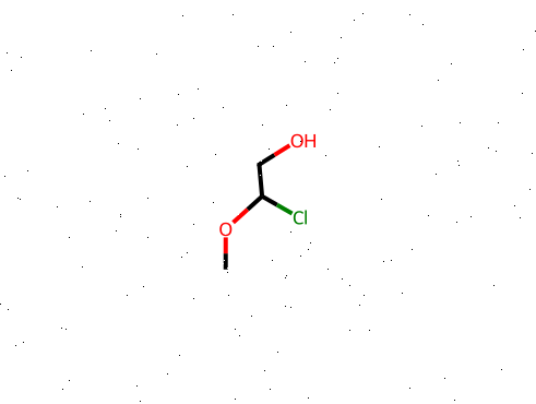 COC(Cl)CO